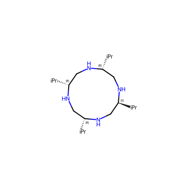 CC(C)[C@@H]1CN[C@H](C(C)C)CN[C@@H](C(C)C)CN[C@H](C(C)C)CN1